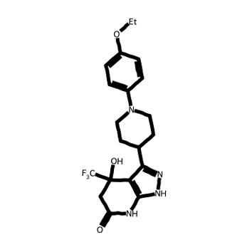 CCOc1ccc(N2CCC(c3n[nH]c4c3C(O)(C(F)(F)F)CC(=O)N4)CC2)cc1